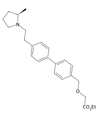 CCOC(=O)COCc1ccc(-c2ccc(CCN3CCC[C@H]3C)cc2)cc1